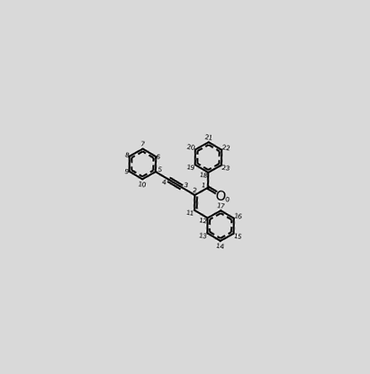 O=C(C(C#Cc1ccccc1)=Cc1ccccc1)c1ccccc1